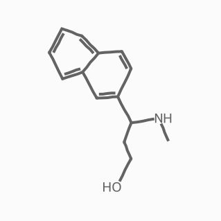 CNC(CCO)c1ccc2ccccc2c1